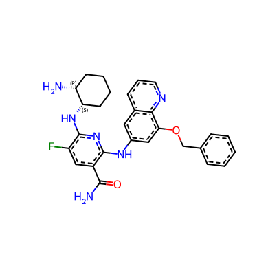 NC(=O)c1cc(F)c(N[C@H]2CCCC[C@H]2N)nc1Nc1cc(OCc2ccccc2)c2ncccc2c1